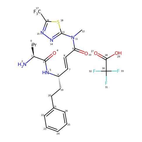 CC(C)[C@H](N)C(=O)N[C@H](C=CC(=O)N(C)c1nnc(C(F)(F)F)s1)CCc1ccccc1.O=C(O)C(F)(F)F